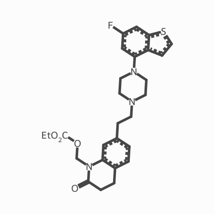 CCOC(=O)OCN1C(=O)CCc2ccc(CCN3CCN(c4cc(F)cc5sccc45)CC3)cc21